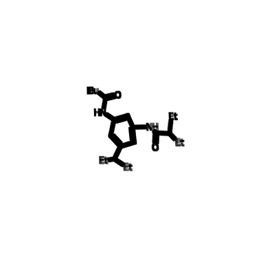 CCC(C)C(=O)Nc1cc(NC(=O)C(CC)CC)cc(C(CC)CC)c1